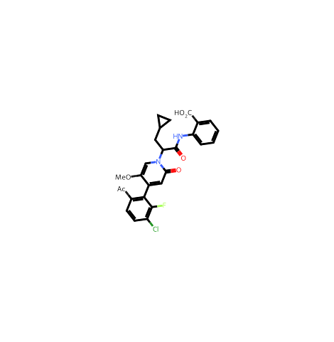 COc1cn(C(CC2CC2)C(=O)Nc2ccccc2C(=O)O)c(=O)cc1-c1c(C(C)=O)ccc(Cl)c1F